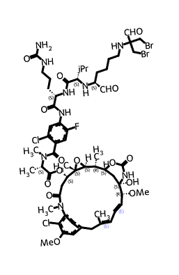 COc1cc2cc(c1Cl)N(C)C(=O)C[C@H](OC(=O)[C@H](C)N(C)C(=O)c1cc(F)c(NC(=O)[C@H](CCCNC(N)=O)NC(=O)[C@@H](N[C@H](C=O)CCCCNC(C=O)(CBr)CBr)C(C)C)cc1Cl)[C@]1(C)O[C@H]1[C@H](C)[C@@H]1C[C@@](O)(NC(=O)O1)[C@H](OC)/C=C/C=C(\C)C2